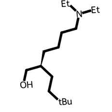 CCN(CC)CCCC[C@H](CO)CCC(C)(C)C